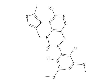 COc1cc(OC)c(Cl)c(N2Cc3cnc(Cl)nc3N(Cc3csc(C)n3)C2=O)c1Cl